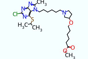 COC(=O)CCCCCOC1CCN(CCCCCCn2c(C)nc3nc(Cl)nc(SC(C)C)c32)C1